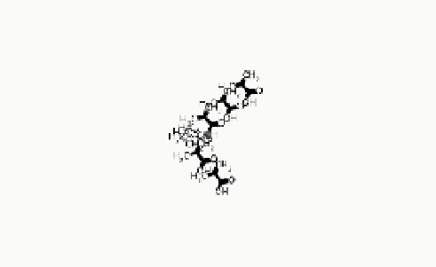 C=C.C=C.C=C.C=C(C)C(=O)O.C=C(C)C(=O)O.C=C(C)C(=O)O.C=C(C)C(=O)O.C=C(C)C(=O)O